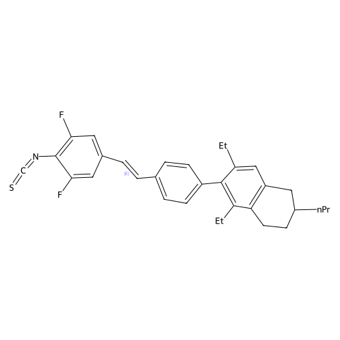 CCCC1CCc2c(cc(CC)c(-c3ccc(/C=C/c4cc(F)c(N=C=S)c(F)c4)cc3)c2CC)C1